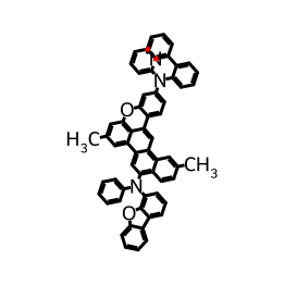 Cc1ccc2c(N(c3ccccc3)c3cccc4c3oc3ccccc34)cc3c4cc(C)cc5c4c(cc3c2c1)-c1ccc(N(c2ccccn2)c2ccccc2-c2ccccc2)cc1O5